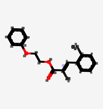 CC(=O)/C(=C\c1ccccc1[N+](=O)[O-])C(=O)OCCOc1ccccc1